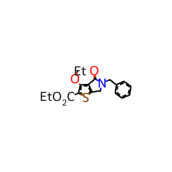 CCOC(=O)c1sc2c(c1OCC)C(=O)N(Cc1ccccc1)C2